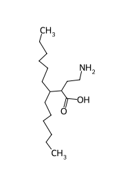 CCCCCCC(CCCCCC)C(CCN)C(=O)O